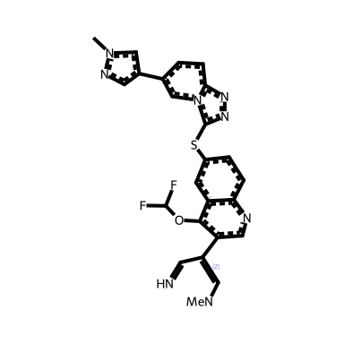 CN/C=C(\C=N)c1cnc2ccc(Sc3nnc4ccc(-c5cnn(C)c5)cn34)cc2c1OC(F)F